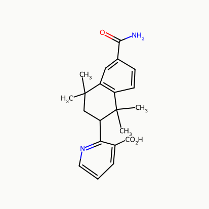 CC1(C)CC(c2ncccc2C(=O)O)C(C)(C)c2ccc(C(N)=O)cc21